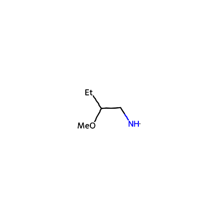 CCC(C[NH])OC